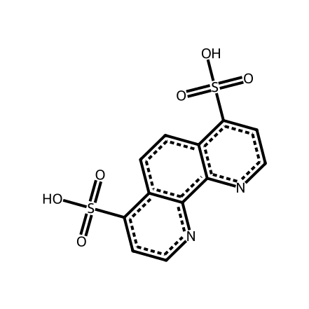 O=S(=O)(O)c1ccnc2c1ccc1c(S(=O)(=O)O)ccnc12